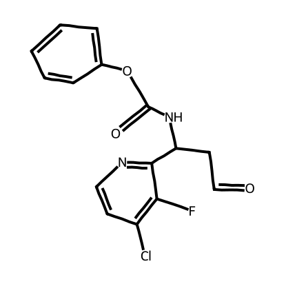 O=CCC(NC(=O)Oc1ccccc1)c1nccc(Cl)c1F